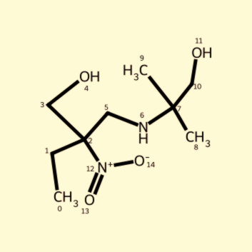 CCC(CO)(CNC(C)(C)CO)[N+](=O)[O-]